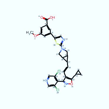 COc1cc(C(=O)O)cc(-c2cnc(N3CC4C(C=Cc5c(-c6c(Cl)cncc6Cl)noc5C5CC5)C4C3)s2)c1